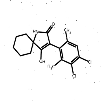 Cc1cc(Cl)c(Cl)c(C)c1C1=C(O)C2(CCCCC2)NC1=O